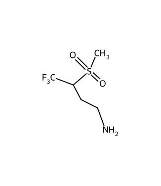 CS(=O)(=O)C(CCN)C(F)(F)F